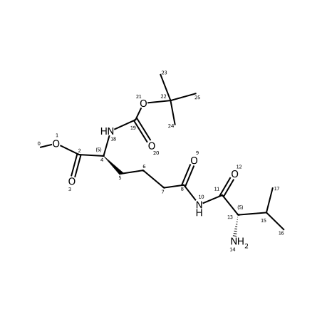 COC(=O)[C@H](CCCC(=O)NC(=O)[C@@H](N)C(C)C)NC(=O)OC(C)(C)C